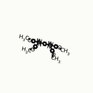 CCOc1ccc(-c2nnc(-c3ccc(-c4nnc(-c5ccc(OCC)cc5)c(-c5ccc(OCC)cc5)n4)cc3)nc2-c2ccc(OCC)cc2)cc1